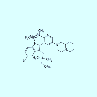 CO[C@@H](C)c1ncc(N2CCN3CCCCC3C2)cc1-c1c(CC(C)(C)COC(C)=O)c2cc(Br)ccc2n1CC(F)(F)F